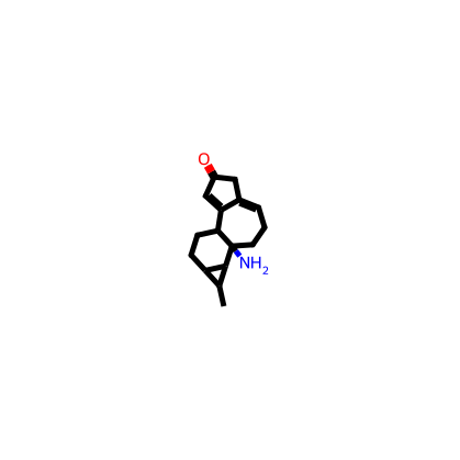 CC1C2CCC3C4=CC(=O)CC4=CCCC3(N)C12